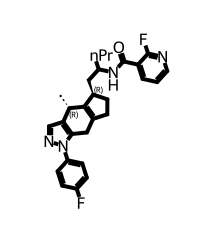 CCCC(C[C@H]1CCC2=C1[C@@H](C)c1cnn(-c3ccc(F)cc3)c1C2)NC(=O)c1cccnc1F